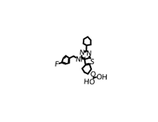 Fc1ccc(CNc2nc(C3CCCCC3)nc3sc4c(c23)CCCC4)cc1.O=C(O)O